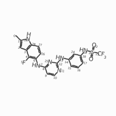 Cc1cc2c(F)c(Nc3ccnc(Nc4cccc(NS(=O)(=O)C(F)(F)F)c4)n3)ccc2[nH]1